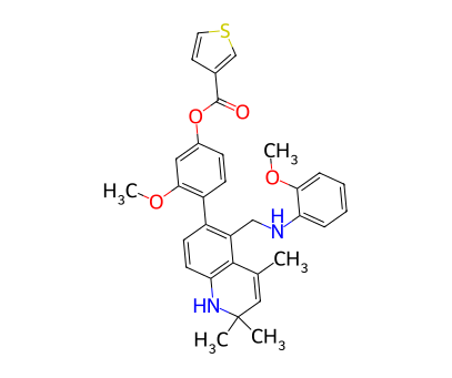 COc1ccccc1NCc1c(-c2ccc(OC(=O)c3ccsc3)cc2OC)ccc2c1C(C)=CC(C)(C)N2